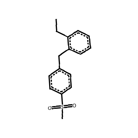 CCc1ccccc1Cc1ccc(S(C)(=O)=O)cc1